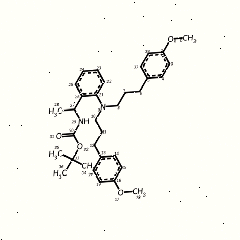 COc1ccc(CCCN(CCCc2ccc(OC)cc2)c2ccccc2C(C)NC(=O)OC(C)(C)C)cc1